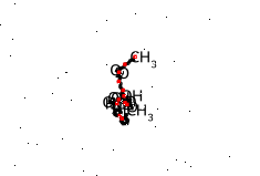 CCCCCCCS(=O)(=O)CCCCCCC=C[C@H](C(=O)N[C@@H](Cc1ccc(-c2ccccc2F)cc1)C(=O)O)[C@@](O)(CCOC)C(=O)O